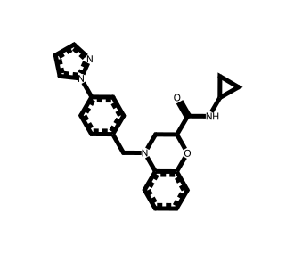 O=C(NC1CC1)C1CN(Cc2ccc(-n3cccn3)cc2)c2ccccc2O1